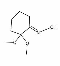 COC1(OC)CCCC/C1=N\O